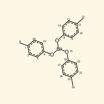 Cc1ccc([O][Bi]([O]c2ccc(C)cc2)[O]c2ccc(C)cc2)cc1